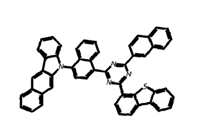 c1ccc2cc(-c3nc(-c4ccc(-n5c6ccccc6c6cc7ccccc7cc65)c5ccccc45)nc(-c4cccc5c4sc4ccccc45)n3)ccc2c1